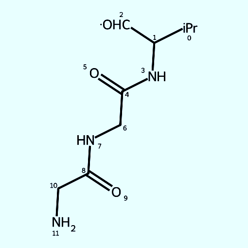 CC(C)C([C]=O)NC(=O)CNC(=O)CN